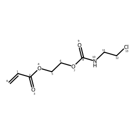 C=CC(=O)OCCOC(=O)NCCCl